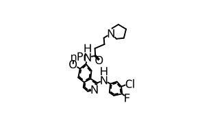 CCCOc1cc2ccnc(Nc3ccc(F)c(Cl)c3)c2cc1NC(=O)CCCN1CCCCC1